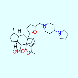 CC(C)C1=CC2CC3(C=O)[C@@H]4CC[C@@H](C)[C@H]4CC2(C2CCC(CN4CCC(N5CCCC5)CC4)O2)C13C(=O)O